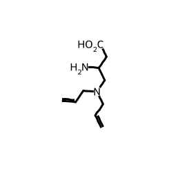 C=CCN(CC=C)CC(N)CC(=O)O